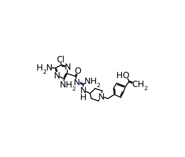 C=C(O)c1ccc(CN2CCC(N/C(N)=N/C(=O)c3nc(Cl)c(N)nc3N)CC2)cc1